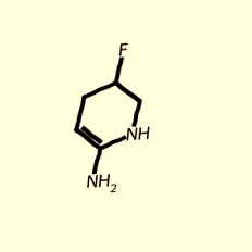 NC1=CCC(F)CN1